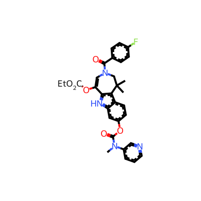 CCOC(=O)OC1=CN(C(=O)c2ccc(F)cc2)CC(C)(C)c2c1[nH]c1cc(OC(=O)N(C)c3cccnc3)ccc21